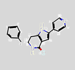 O=C1N[C@H](Cc2ccccc2)Cc2[nH]c(-c3ccncc3)cc21